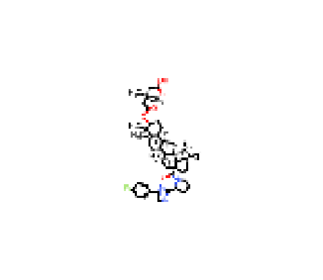 CC(C)(CC(=O)O)CC(=O)O[C@H]1CC[C@]2(C)[C@H]3CC[C@@H]4[C@H]5C(C6(C)CC6)CC[C@]5(C(=O)N5CCC[C@H]5c5ncc(-c6ccc(F)cc6)[nH]5)CC[C@@]4(C)[C@]3(C)CC[C@H]2C1(C)C